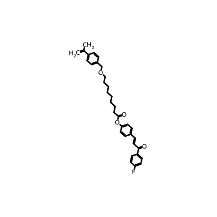 C=C(C)c1ccc(COCCCCCCCCC(=O)Oc2ccc(C=CC(=O)c3ccc(F)cc3)cc2)cc1